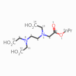 CCCOC(=O)CN(CCN(CC(=O)O)CC(=O)O)CC(=O)O